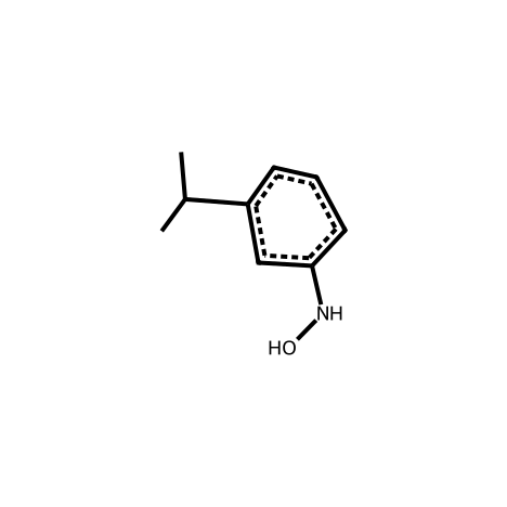 CC(C)c1cccc(NO)c1